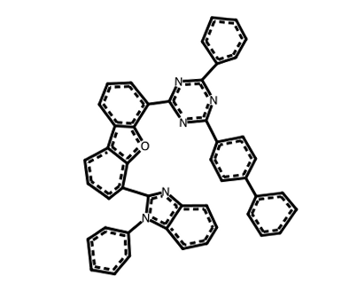 c1ccc(-c2ccc(-c3nc(-c4ccccc4)nc(-c4cccc5c4oc4c(-c6nc7ccccc7n6-c6ccccc6)cccc45)n3)cc2)cc1